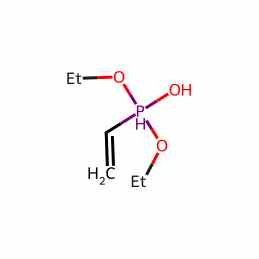 C=C[PH](O)(OCC)OCC